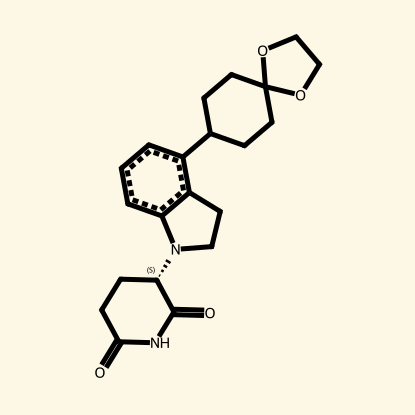 O=C1CC[C@H](N2CCc3c(C4CCC5(CC4)OCCO5)cccc32)C(=O)N1